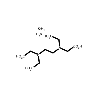 N.O=C(O)CN(CCN(CC(=O)O)CC(=O)O)CC(=O)O.[SrH2]